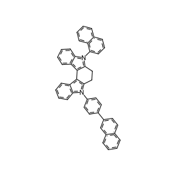 c1ccc2cc(-c3ccc(-n4c5c(c6ccccc64)-c4c(n(-c6cccc7ccccc67)c6ccccc46)CC5)cc3)ccc2c1